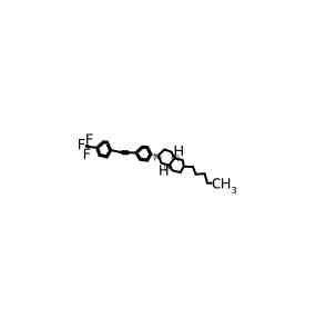 CCCCCC1CC[C@@H]2C[C@H](c3ccc(C#Cc4ccc(C(F)(F)F)cc4)cc3)CC[C@@H]2C1